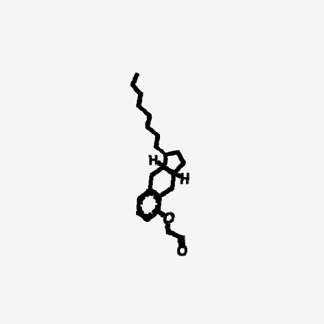 CCCCCCCC[C@H]1CC[C@@H]2Cc3c(cccc3OCC=O)C[C@H]12